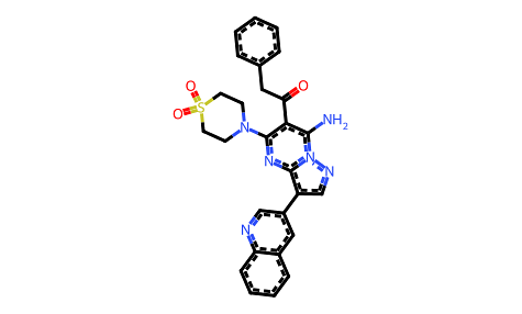 Nc1c(C(=O)Cc2ccccc2)c(N2CCS(=O)(=O)CC2)nc2c(-c3cnc4ccccc4c3)cnn12